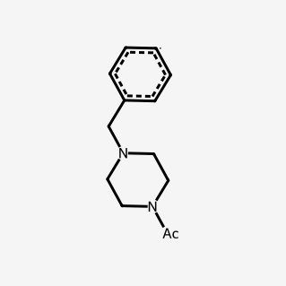 CC(=O)N1CCN(Cc2cc[c]cc2)CC1